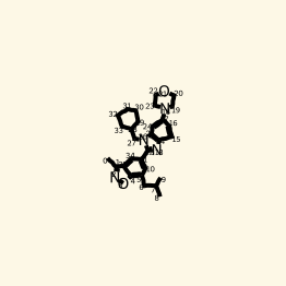 Cc1noc2c(CC(C)C)cc(-c3nc4ccc(N5CCOCC5)cc4n3CC3CCCCC3)cc12